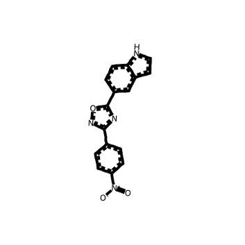 O=[N+]([O-])c1ccc(-c2noc(-c3ccc4[nH]ccc4c3)n2)cc1